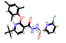 Cc1cc(C)c(Oc2nc(C(C)(C)C)ccc2C(=O)NN[S+]([O-])c2cccc(F)n2)c(C)c1